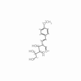 COc1ccc(C=NC(C=O)C(O)C(O)C(O)CO)cc1